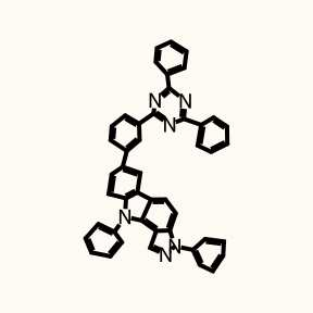 c1ccc(-c2nc(-c3ccccc3)nc(-c3cccc(-c4ccc5c(c4)c4ccc6c(cnn6-c6ccccc6)c4n5-c4ccccc4)c3)n2)cc1